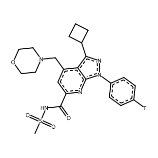 CS(=O)(=O)NC(=O)c1cc(CN2CCOCC2)c2c(C3CCC3)nn(-c3ccc(F)cc3)c2n1